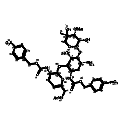 CN[C@@H]1[C@@H](O)[C@@H](O[C@@H]2[C@@H](O)[C@H](O[C@H]3OC(CNC(C)=O)=CC[C@H]3NC(=O)OCc3ccc([N+](=O)[O-])cc3)[C@@H](NC(=O)OCc3ccc([N+](=O)[O-])cc3)C[C@H]2N)OC[C@]1(C)O